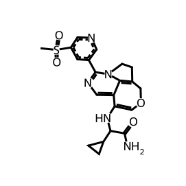 CS(=O)(=O)c1cncc(C2=NC=C3C(NC(C(N)=O)C4CC4)=COCC4=C3N2CC4)c1